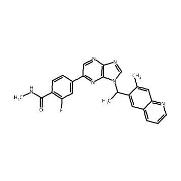 CNC(=O)c1ccc(-c2cnc3ncn(C(C)c4cc5cccnc5cc4C)c3n2)cc1F